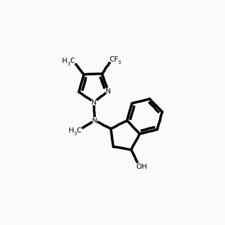 Cc1[c]n(N(C)C2CC(O)c3ccccc32)nc1C(F)(F)F